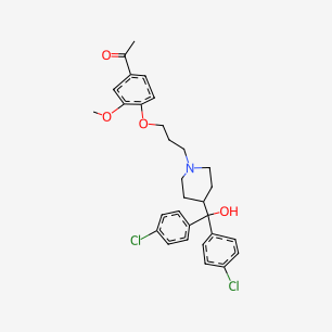 COc1cc(C(C)=O)ccc1OCCCN1CCC(C(O)(c2ccc(Cl)cc2)c2ccc(Cl)cc2)CC1